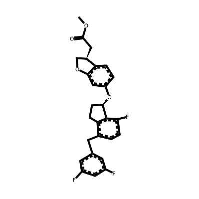 COC(=O)C[C@@H]1COc2cc(O[C@@H]3CCc4c(Cc5cc(F)cc(F)c5)ccc(F)c43)ccc21